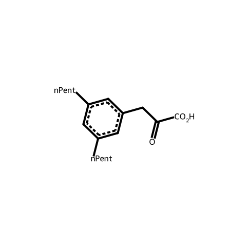 CCCCCc1cc(CCCCC)cc(CC(=O)C(=O)O)c1